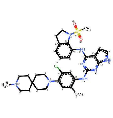 COc1cc(N2CCC3(CCN(C)CC3)CC2)c(Cl)cc1Nc1nc(Nc2cccc3c2N(S(C)(=O)=O)CC3)c2cc[nH]c2n1